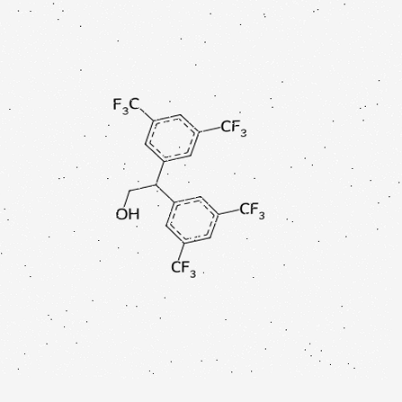 OCC(c1cc(C(F)(F)F)cc(C(F)(F)F)c1)c1cc(C(F)(F)F)cc(C(F)(F)F)c1